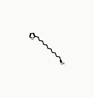 C#CCCCCCCCCCCCc1ccco1